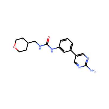 Nc1ncc(-c2cccc(NC(=O)NCC3CCOCC3)c2)cn1